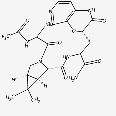 CC(C)(C)C(NC(=O)C(F)(F)F)C(=O)N1C[C@H]2[C@@H]([C@H]1C(=O)NC(C[C@@H]1Oc3cnccc3NC1=O)C(N)=O)C2(C)C